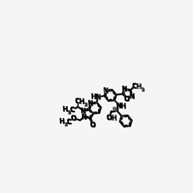 COCn1c(=O)c2ccc(Nc3cc(N[C@H](CO)c4ccccc4)c(-c4nc(C)no4)cn3)nc2n1C(C)C